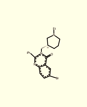 CCN1CCC[C@H](Cn2c(C(C)C)nc3ccc(Br)cc3c2=O)C1